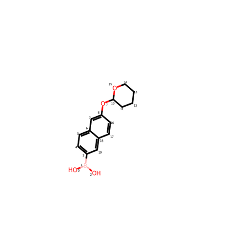 OB(O)c1ccc2cc(OC3CCCCO3)ccc2c1